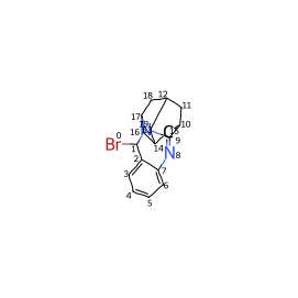 BrC1c2ccccc2N=C2C3CC4CC(C3)CC(C4)N21